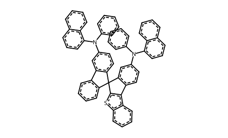 c1ccc(N(c2ccc3c(c2)-c2ccccc2C32c3cc(N(c4ccccc4)c4cccc5ccccc45)ccc3-c3c2sc2ccccc32)c2cccc3ccccc23)cc1